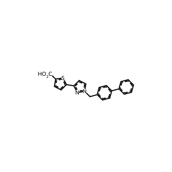 O=C(O)c1ccc(-c2ccn(Cc3ccc(-c4ccccc4)cc3)n2)s1